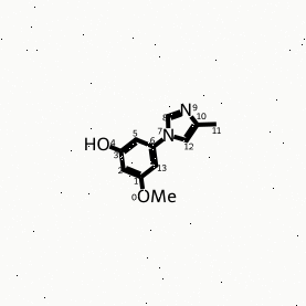 COc1cc(O)cc(-n2cnc(C)c2)c1